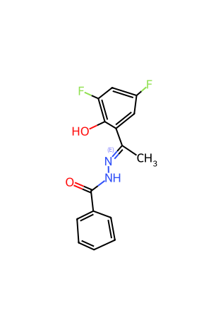 C/C(=N\NC(=O)c1ccccc1)c1cc(F)cc(F)c1O